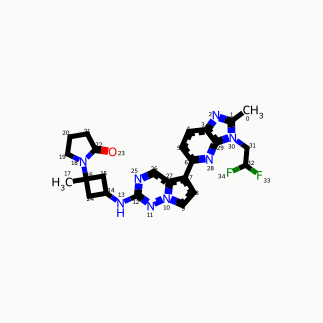 Cc1nc2ccc(-c3ccn4nc(NC5CC(C)(N6CCCC6=O)C5)ncc34)nc2n1CC(F)F